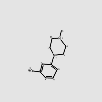 CN1CCN(c2[c]c(O)ccc2)CC1